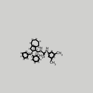 Cc1cc(C)cc(NC(=S)N[C@H](C)C2C3=C(CCCCC3)C[C@@H]2P(c2ccccc2)c2ccccc2)c1